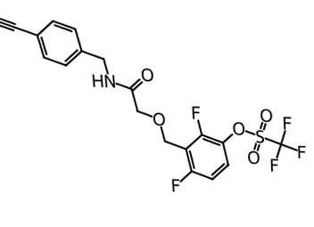 N#Cc1ccc(CNC(=O)COCc2c(F)ccc(OS(=O)(=O)C(F)(F)F)c2F)cc1